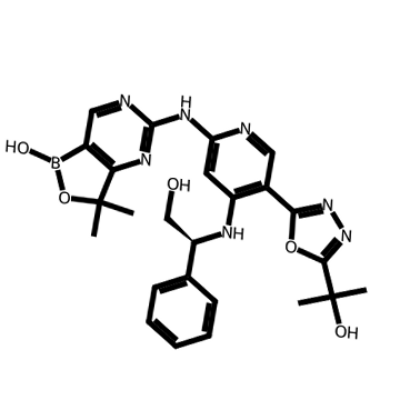 CC(C)(O)c1nnc(-c2cnc(Nc3ncc4c(n3)C(C)(C)OB4O)cc2N[C@H](CO)c2ccccc2)o1